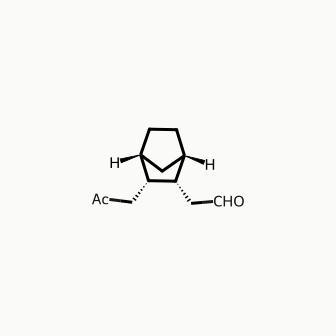 CC(=O)C[C@@H]1[C@@H]2CC[C@@H](C2)[C@@H]1CC=O